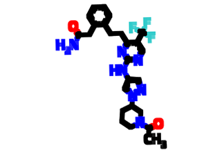 CC(=O)N1CCCC(n2cc(Nc3ncc(C(F)(F)F)c(CCc4ccccc4CC(N)=O)n3)cn2)C1